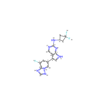 Fc1cc(-c2c[nH]c3nc(NC4CC(F)(F)C4)ncc23)cn2ncnc12